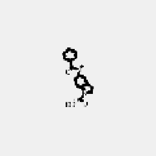 CN(C(=O)c1ccccc1)c1ccc2c(ccn2C(=O)OC(C)(C)C)c1